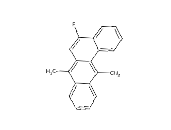 Cc1c2ccccc2c(C)c2c1cc(F)c1ccccc12